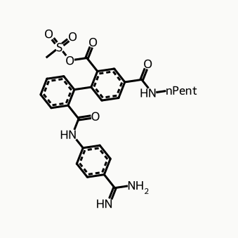 CCCCCNC(=O)c1ccc(-c2ccccc2C(=O)Nc2ccc(C(=N)N)cc2)c(C(=O)OS(C)(=O)=O)c1